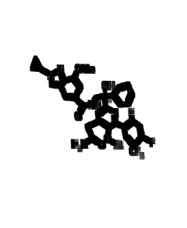 CCOc1c(CC(N)=O)cc([C@@](O)(CNC(=O)c2cc(OC)c3nn(C4CC4)cc3c2)c2ccccc2)nc1-c1cc(C(F)(F)F)c(F)cc1F